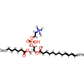 CCCCCC/C=C/C=C/CCCCCCCC(=O)O[C@H](COC(=O)CCCCCCCCCCCCCCC)COP(=O)(O)OCC[N+](C)(C)C